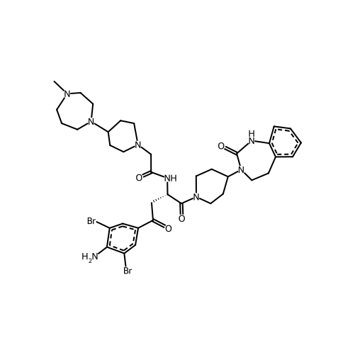 CN1CCCN(C2CCN(CC(=O)N[C@@H](CC(=O)c3cc(Br)c(N)c(Br)c3)C(=O)N3CCC(N4CCc5ccccc5NC4=O)CC3)CC2)CC1